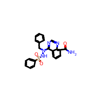 NC(=O)c1cccc2c(N(Cc3ccccc3)NS(=O)(=O)c3ccccc3)ncnc12